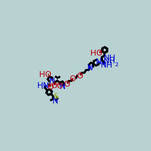 Cc1ncsc1-c1ccc([C@H](C)NC(=O)[C@@H]2C[C@@H](O)CN2C(=O)[C@@H](c2cc(OCCOCCOCCCCN3CCC4(CCN(/C(=C/C(=N)c5ccccc5O)C(=N)N)CC4)C3)no2)C(C)C)cc1